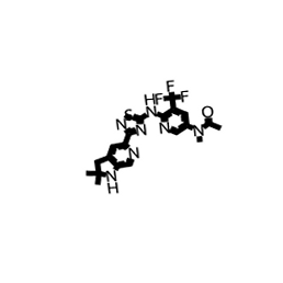 CC(=O)N(C)c1cnc(Nc2nc(-c3cc4c(cn3)NC(C)(C)C4)ns2)c(C(F)(F)F)c1